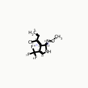 C=C/C(Cl)=C1/C(C(F)(F)F)=CN/C1=N\OC